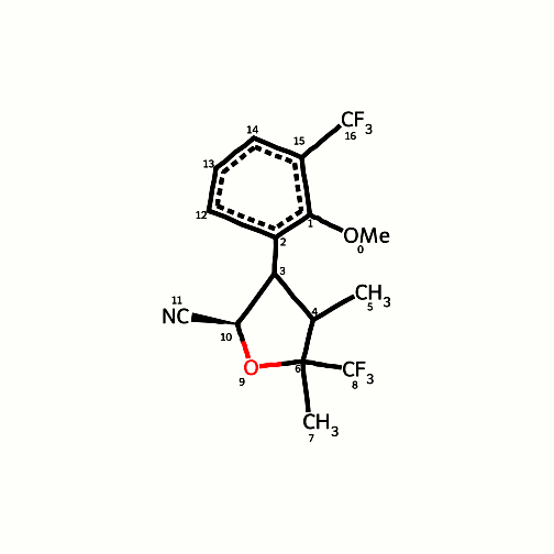 COc1c(C2C(C)C(C)(C(F)(F)F)O[C@H]2C#N)cccc1C(F)(F)F